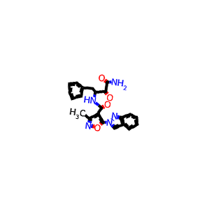 Cc1noc(-n2cc3ccccc3n2)c1C(=O)NC(Cc1ccccc1)C(=O)C(N)=O